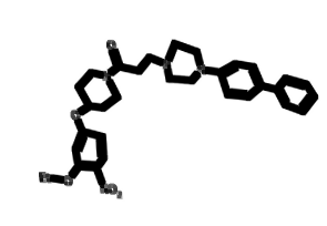 CCOc1cc(OC2CCN(C(=O)CCN3CCN(c4ccc(-c5ccccc5)cc4)CC3)CC2)ccc1[N+](=O)[O-]